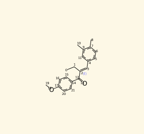 CC/C(=C\c1ccc(C)c(C)c1)C(=O)c1ccc(OC)cc1